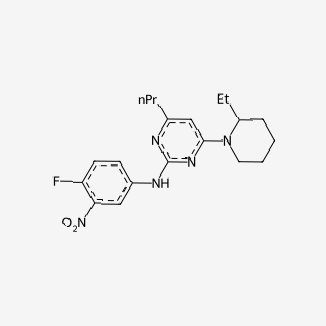 CCCc1cc(N2CCCCC2CC)nc(Nc2ccc(F)c([N+](=O)[O-])c2)n1